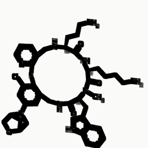 CN1C(=O)[C@H](CCCCN)NC(=O)[C@H](CCCN)NCc2cccnc2Sc2c(Cl)cc(N3CC4CC3CO4)cc2CNC(=O)[C@@H]1Cc1c[nH]c2ccccc12